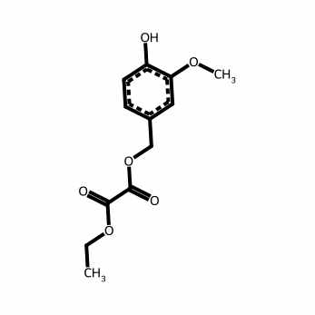 CCOC(=O)C(=O)OCc1ccc(O)c(OC)c1